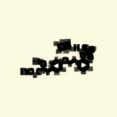 CCOC(=O)C(Cc1ccc(OCCc2ccccc2OS(C)(=O)=O)cc1)OCC.c1cc2ccc1-2